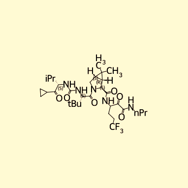 CCCNC(=O)C(=O)C(CCC(F)(F)F)NC(=O)[C@@H]1[C@@H]2[C@H](CN1C(=O)[C@@H](NC(=O)N[C@H](C(=O)C1CC1)C(C)C)C(C)(C)C)C2(C)C